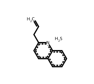 C=CCc1ccc2ccccc2n1.S